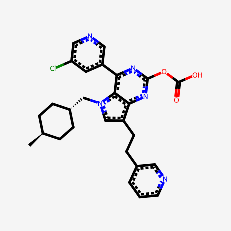 C[C@H]1CC[C@H](Cn2cc(CCc3cccnc3)c3nc(OC(=O)O)nc(-c4cncc(Cl)c4)c32)CC1